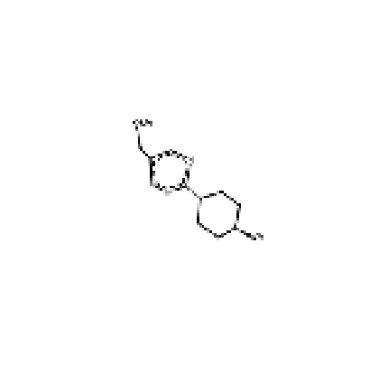 CCC[C@H]1CC[C@H](c2ncc(COC)cn2)CC1